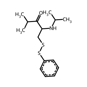 CC(C)NC(CSSc1ccccc1)C(=O)C(C)C